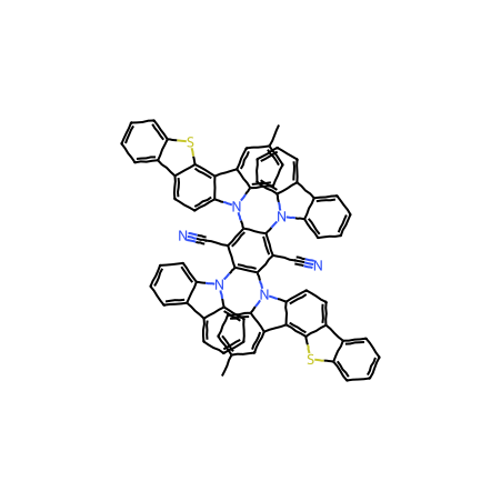 Cc1ccc2c(c1)c1c3sc4ccccc4c3ccc1n2-c1c(C#N)c(-n2c3ccccc3c3ccccc32)c(-n2c3ccc(C)cc3c3c4sc5ccccc5c4ccc32)c(C#N)c1-n1c2ccccc2c2ccccc21